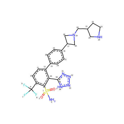 NS(=O)(=O)c1c(C(F)(F)F)ccc(-c2ccc(C3CN(CC4CCNC4)C3)cc2)c1-c1nnn[nH]1